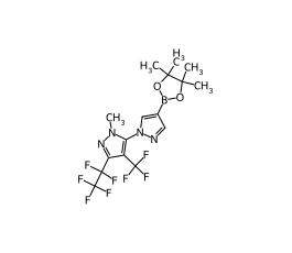 Cn1nc(C(F)(F)C(F)(F)F)c(C(F)(F)F)c1-n1cc(B2OC(C)(C)C(C)(C)O2)cn1